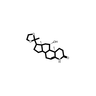 CC1(C2CCC3C4CC=C5NC(=O)CC[C@]5(C)C4[C@@H](O)C[C@@]32C)OCCO1